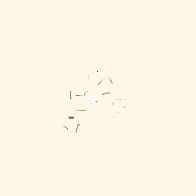 CC1(C)OB(c2ccc(C(F)(F)F)cc2CN(CCc2ccccc2)C(=O)C2CC2)OC1(C)C